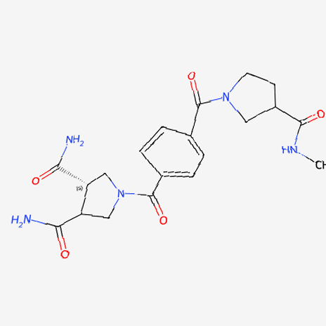 CNC(=O)C1CCN(C(=O)c2ccc(C(=O)N3CC(C(N)=O)[C@H](C(N)=O)C3)cc2)C1